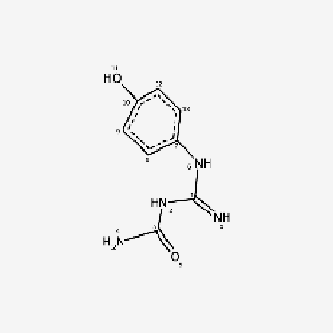 N=C(NC(N)=O)Nc1ccc(O)cc1